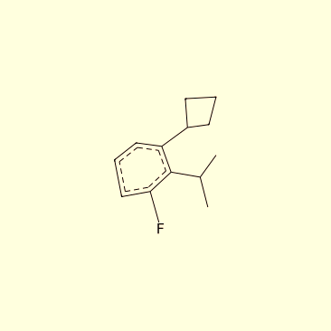 CC(C)c1c(F)cccc1C1CCC1